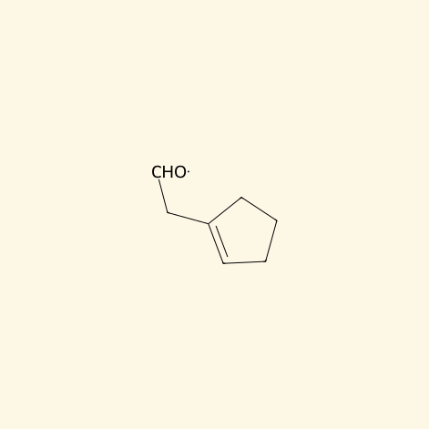 O=[C]CC1=CCCC1